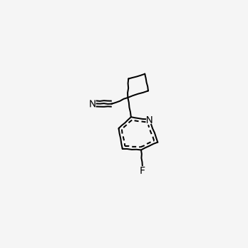 N#CC1(c2ccc(F)cn2)CCC1